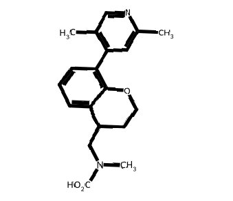 Cc1cc(-c2cccc3c2OCCC3CN(C)C(=O)O)c(C)cn1